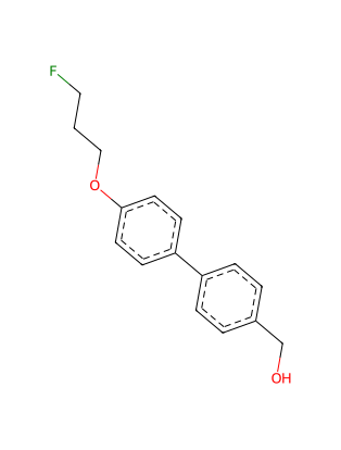 OCc1ccc(-c2ccc(OCCCF)cc2)cc1